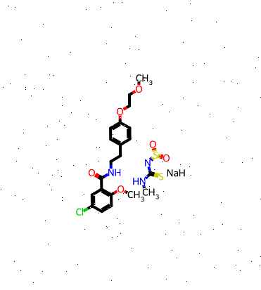 CNC(=S)N=S(=O)=O.COCCOc1ccc(CCNC(=O)c2cc(Cl)ccc2OC)cc1.[NaH]